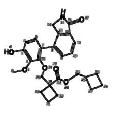 COc1c(O)ccc(-c2cccc3c2CNC3=O)c1OCC1(C(=O)OCC2CCC2)CCC1